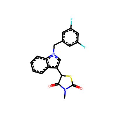 CN1C(=O)SC(c2cn(Cc3cc(F)cc(F)c3)c3ccccc23)C1=O